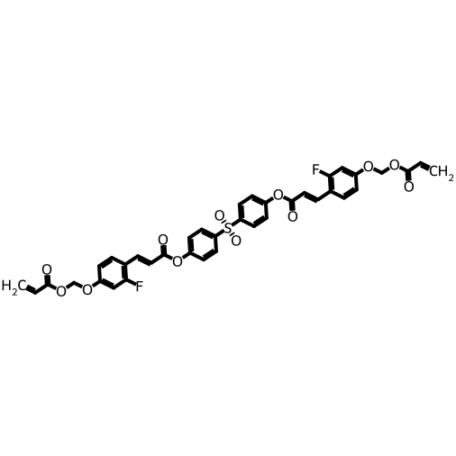 C=CC(=O)OCOc1ccc(C=CC(=O)Oc2ccc(S(=O)(=O)c3ccc(OC(=O)C=Cc4ccc(OCOC(=O)C=C)cc4F)cc3)cc2)c(F)c1